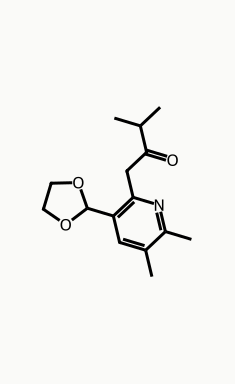 Cc1cc(C2OCCO2)c(CC(=O)C(C)C)nc1C